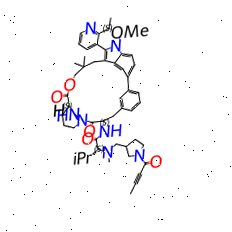 CC#CC(=O)N1CCC(CN(C)[C@H](C(=O)N[C@H]2Cc3cccc(c3)-c3ccc4c(c3)c(c(-c3cccnc3[C@H](C)OC)n4C)CC(C)(C)COC(=O)[C@@H]3CCCN(N3)C2=O)C(C)C)C1